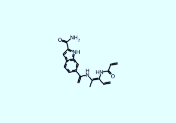 C=CC(=O)N/C(C=C)=C(/C)NC(=C)c1ccc2cc(C(N)=O)[nH]c2c1